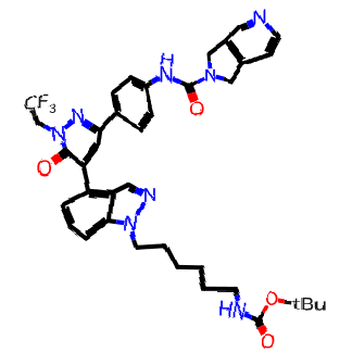 CC(C)(C)OC(=O)NCCCCCCn1ncc2c(-c3cc(-c4ccc(NC(=O)N5Cc6ccncc6C5)cc4)nn(CC(F)(F)F)c3=O)cccc21